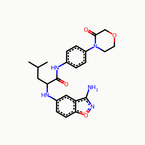 CC(C)CC(Nc1ccc2onc(N)c2c1)C(=O)Nc1ccc(N2CCOCC2=O)cc1